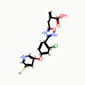 C=C(Cc1nc(-c2ccc(Oc3cncc(F)c3)cc2Cl)no1)C(=O)O